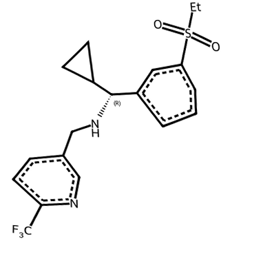 CCS(=O)(=O)c1cccc([C@H](NCc2ccc(C(F)(F)F)nc2)C2CC2)c1